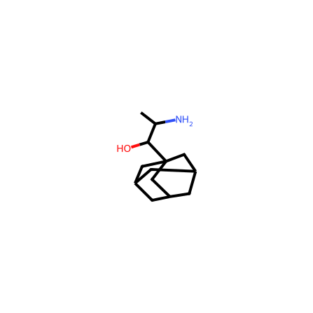 CC(N)C(O)C12CC3CC(CC(C3)C1)C2